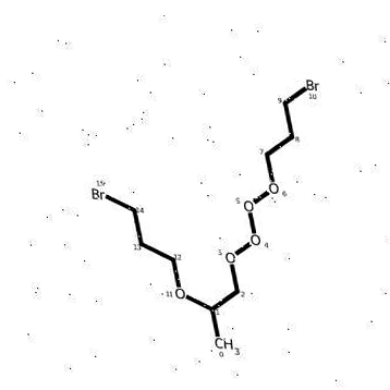 CC(COOOOCCCBr)OCCCBr